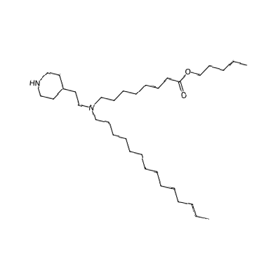 CCCCCCCCCCCCCCN(CCCCCCCC(=O)OCCCCC)CCC1CCNCC1